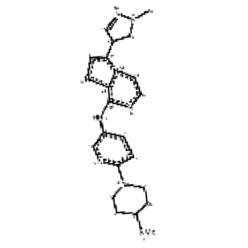 CNC1CCN(c2ccc(Nc3nccn4c(C5C=NN(C)C5)cnc34)cn2)CC1